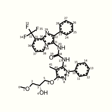 COC[C@@H](O)COc1nn(-c2ccccc2)c(NC(=O)Nc2c(-c3ccccc3)nc3c(C(F)(F)F)cccn23)c1C